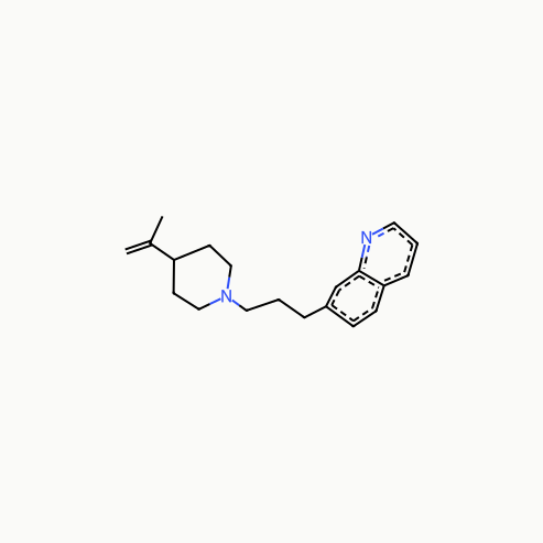 C=C(C)C1CCN(CCCc2ccc3cccnc3c2)CC1